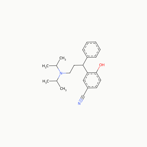 CC(C)N(CCC(c1ccccc1)c1cc(C#N)ccc1O)C(C)C